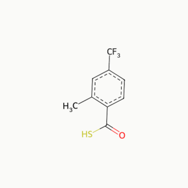 Cc1cc(C(F)(F)F)ccc1C(=O)S